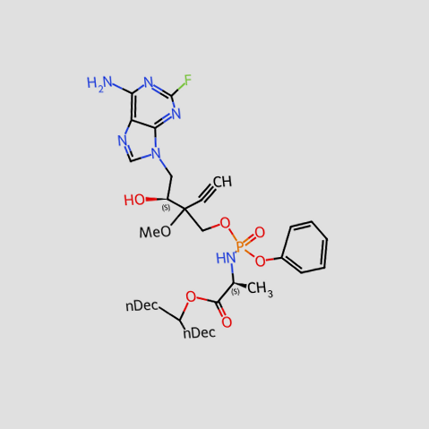 C#CC(COP(=O)(N[C@@H](C)C(=O)OC(CCCCCCCCCC)CCCCCCCCCC)Oc1ccccc1)(OC)[C@@H](O)Cn1cnc2c(N)nc(F)nc21